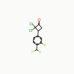 O=C1CC(c2ccc(C(F)F)c(F)c2)C1(Cl)Cl